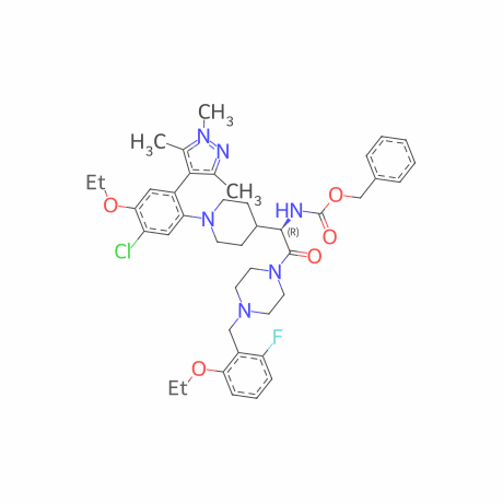 CCOc1cc(-c2c(C)nn(C)c2C)c(N2CCC([C@@H](NC(=O)OCc3ccccc3)C(=O)N3CCN(Cc4c(F)cccc4OCC)CC3)CC2)cc1Cl